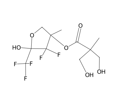 CC(CO)(CO)C(=O)OC1(C)COC(O)(C(F)(F)F)C1(F)F